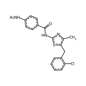 CC(=O)Nc1ccc(C(=O)Nc2nc(C)c(Cc3ccccc3Cl)s2)cc1